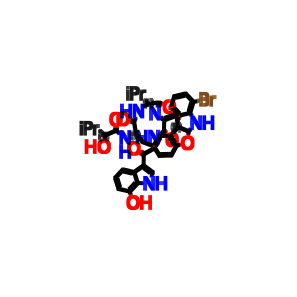 CC(C)[C@H](O)C(=O)N[C@H]1Cc2ccc3c(c2)[C@@]2(c4cccc(Br)c4NC2O3)c2oc(nc2C(=O)NCC(=O)c2c[nH]c3c(O)cccc23)[C@H](C(C)C)NC1=O